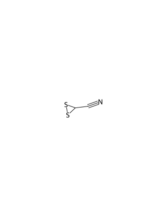 N#CC1SS1